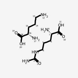 NC(=O)NCCC[C@H](N)C(=O)O.NCCC[C@H](N)C(=O)O